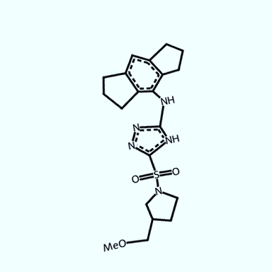 COCC1CCN(S(=O)(=O)c2nnc(Nc3c4c(cc5c3CCC5)CCC4)[nH]2)C1